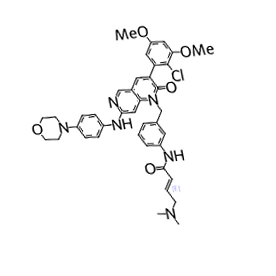 COc1cc(OC)c(Cl)c(-c2cc3cnc(Nc4ccc(N5CCOCC5)cc4)cc3n(Cc3cccc(NC(=O)/C=C/CN(C)C)c3)c2=O)c1